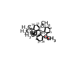 COc1cccc(OC)c1P(c1cccc(S(C)(C)C)c1O)c1c(OC)cccc1OC